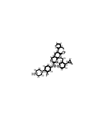 Cc1ccsc1-c1cc2cnc(Nc3ccc(N4CCNCC4)c(F)c3)nc2n(Cc2cnccc2C2CC2)c1=O